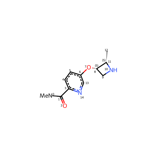 CNC(=O)c1ccc(O[C@H]2CN[C@H]2C)cn1